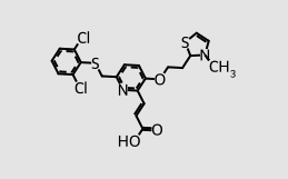 CN1C=CSC1CCOc1ccc(CSc2c(Cl)cccc2Cl)nc1/C=C/C(=O)O